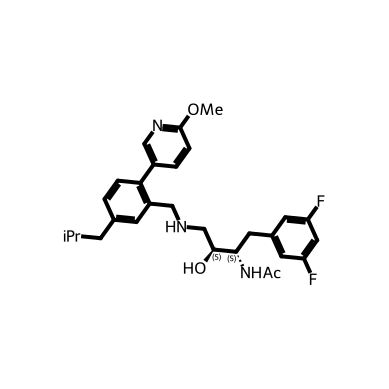 COc1ccc(-c2ccc(CC(C)C)cc2CNC[C@H](O)[C@H](Cc2cc(F)cc(F)c2)NC(C)=O)cn1